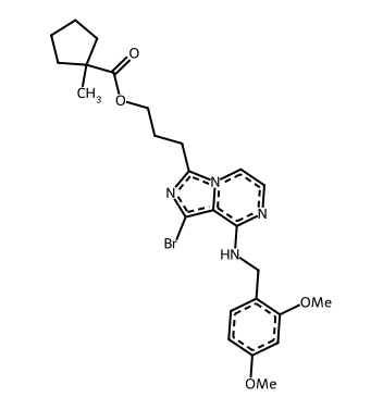 COc1ccc(CNc2nccn3c(CCCOC(=O)C4(C)CCCC4)nc(Br)c23)c(OC)c1